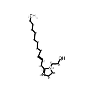 CCCCCCCCCC=CCC1=NCCN1CCO